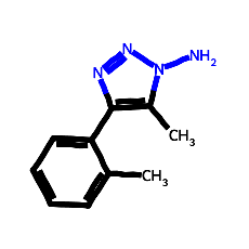 Cc1ccccc1-c1nnn(N)c1C